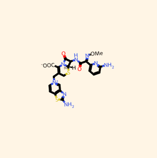 CON=C(C(=O)NC1C(=O)N2C(C(=O)[O-])=C(C[n+]3ccc4sc(N)nc4c3)CS[C@@H]12)c1cccc(N)n1